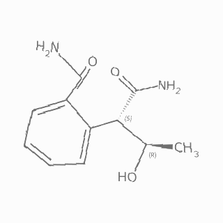 C[C@@H](O)[C@@H](C(N)=O)c1ccccc1C(N)=O